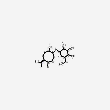 CC/C(C)=C1\CCC(C(C)=O)C(OC2OC(CO)C(O)C(O)C2O)CCC1C